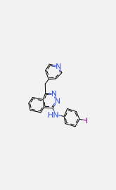 Ic1ccc(Nc2nnc(Cc3ccncc3)c3ccccc23)cc1